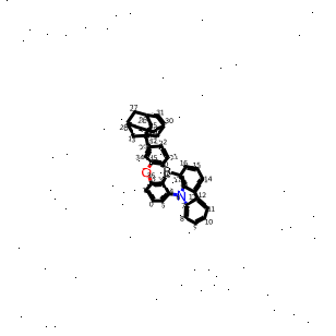 c1cc2c3c(c1)-n1c4ccccc4c4cccc(c41)B3c1ccc(C34CC5CC(CC(C5)C3)C4)cc1O2